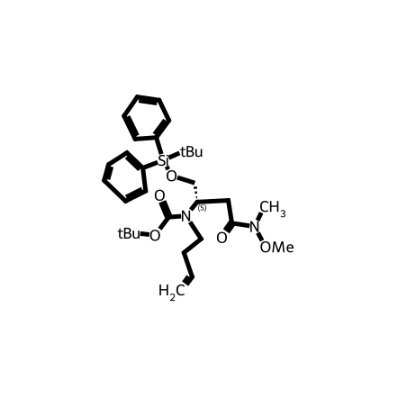 C=CCCN(C(=O)OC(C)(C)C)[C@H](CO[Si](c1ccccc1)(c1ccccc1)C(C)(C)C)CC(=O)N(C)OC